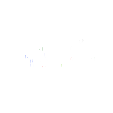 N#Cc1cc(Cl)cc(Oc2c(Cl)ccc(CNC(=O)c3[nH]ncc3Cl)c2F)c1